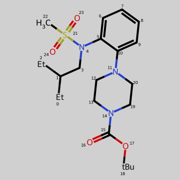 CCC(CC)CN(c1ccccc1N1CCN(C(=O)OC(C)(C)C)CC1)S(C)(=O)=O